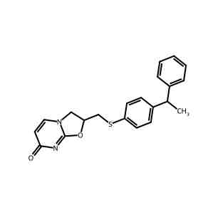 CC(c1ccccc1)c1ccc(SCC2Cn3ccc(=O)nc3O2)cc1